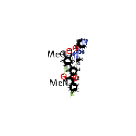 CNC(=O)c1c(-c2ccc(F)cc2)oc2ccc(-c3cc(C(=O)N(c4nc5cnccc5o4)C4CC4)c(OC)cc3C)c(F)c12